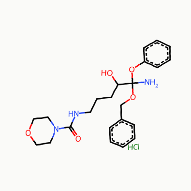 Cl.NC(OCc1ccccc1)(Oc1ccccc1)C(O)CCCNC(=O)N1CCOCC1